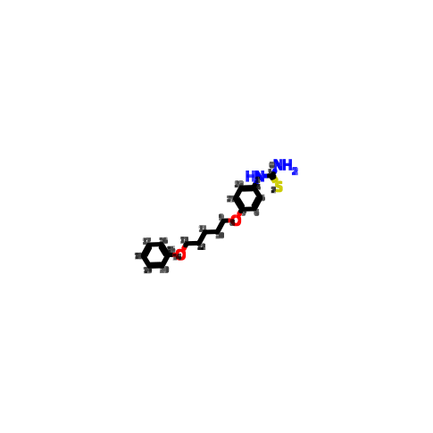 NC(=S)Nc1ccc(OCCCCCOc2ccccc2)cc1